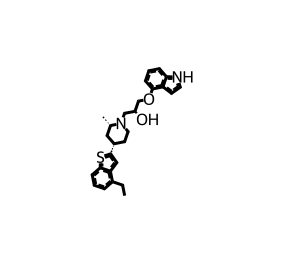 CCc1cccc2sc([C@H]3CCN(C[C@H](O)COc4cccc5[nH]ccc45)[C@@H](C)C3)cc12